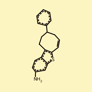 Nc1ccc2c3c(sc2c1)/C=C\CC(c1ccccc1)CC3